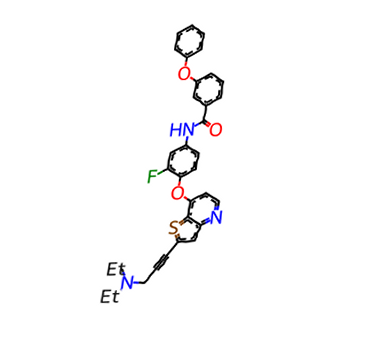 CCN(CC)CC#Cc1cc2nccc(Oc3ccc(NC(=O)c4cccc(Oc5ccccc5)c4)cc3F)c2s1